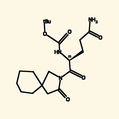 CC(C)(C)OC(=O)N[C@@H](CCC(N)=O)C(=O)N1CC2(CCCCC2)CC1=O